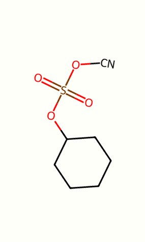 N#COS(=O)(=O)OC1CCCCC1